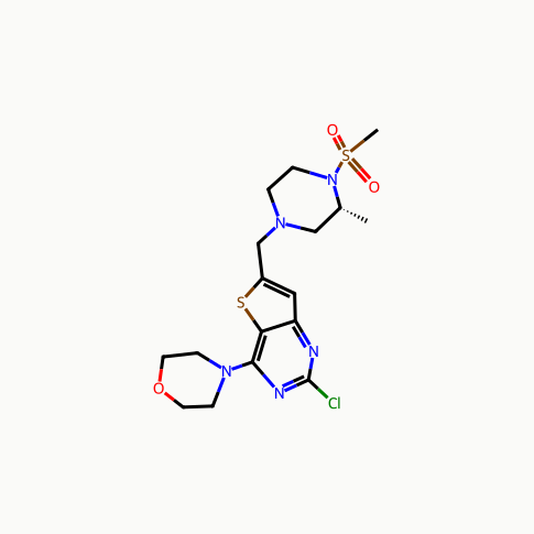 C[C@@H]1CN(Cc2cc3nc(Cl)nc(N4CCOCC4)c3s2)CCN1S(C)(=O)=O